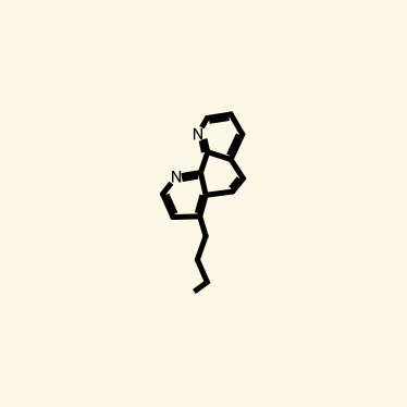 CCCCc1ccnc2c1ccc1cccnc12